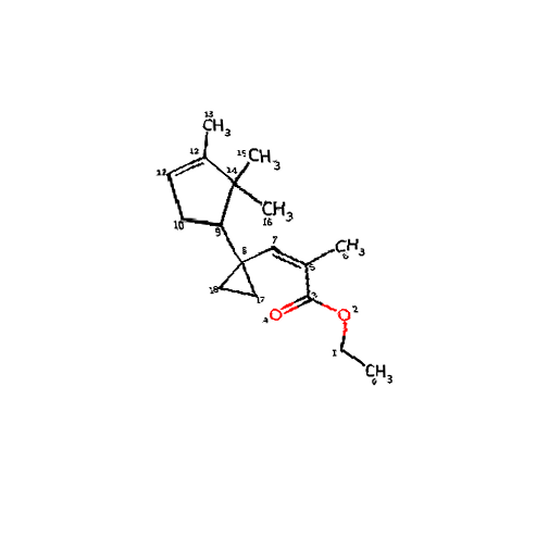 CCOC(=O)C(C)=CC1(C2CC=C(C)C2(C)C)CC1